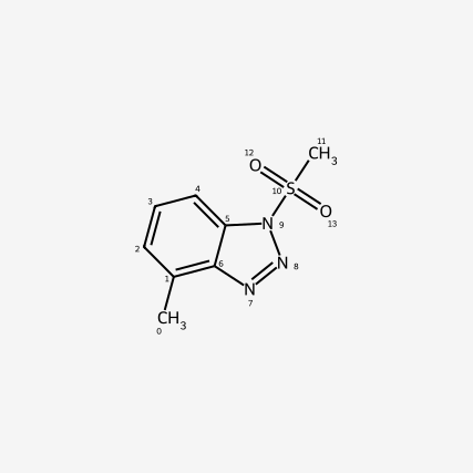 Cc1cccc2c1nnn2S(C)(=O)=O